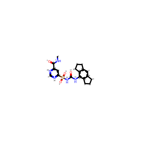 CNC(=O)c1cc(S(=O)(=O)NC(=O)Nc2c3c(cc4c2CCC4)CCC3)ncn1